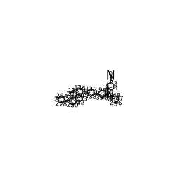 N#Cc1ccc2c(c1)c1cc(-c3ccc(-c4ccc5ccc6c(-c7ccccc7)ccc7ccc4c5c76)cc3)ccc1n2-c1ccccc1